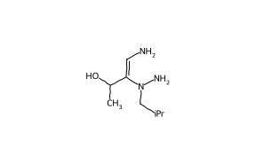 CC(C)CN(N)/C(=C\N)C(C)O